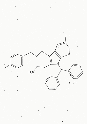 Cc1ccc(CCCc2c(CCN)n(C(c3ccccc3)c3ccccc3)c3ccc(I)cc23)cc1